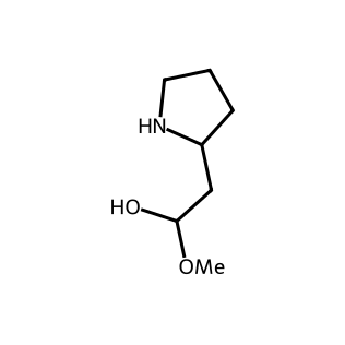 COC(O)CC1CCCN1